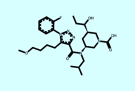 CCC(O)[C@@H]1C[C@H](N(CC(C)C)C(=O)c2nnn(-c3ccccc3F)c2CCCCOC)CN(C(=O)O)C1